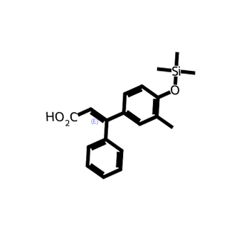 Cc1cc(/C(=C/C(=O)O)c2ccccc2)ccc1O[Si](C)(C)C